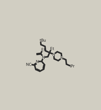 C=C(CC)N(CC(CC)(CCCC(C)(C)C)N1CCN(CCC(C)C)CC1)C1C=CC=CC(C#N)=N1